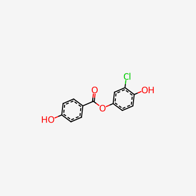 O=C(Oc1ccc(O)c(Cl)c1)c1ccc(O)cc1